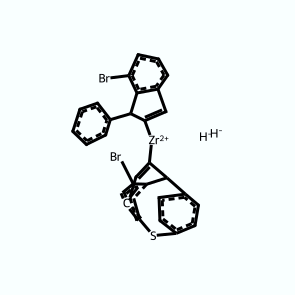 Brc1cccc2c1C(c1ccccc1)[C]([Zr+2][C]1=Cc3c4ccc(Br)c3C1c1ccc(cc1)S4)=C2.[H-].[H-]